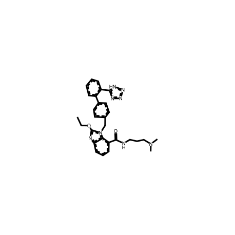 CCOc1nc2cccc(C(=O)NCCCN(C)C)c2n1Cc1ccc(-c2ccccc2-c2nnn[nH]2)cc1